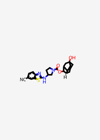 N#Cc1ccc2nc(NC3CCN(C(=O)OC4C5CC6C[C@@H]4CC(O)(C6)C5)C3)sc2c1